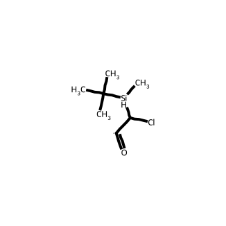 C[SiH](C(Cl)[C]=O)C(C)(C)C